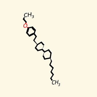 CCCCCCC[C@H]1CC[C@H]([C@H]2CC[C@H](CCc3ccc(OCCC)cc3)CC2)CC1